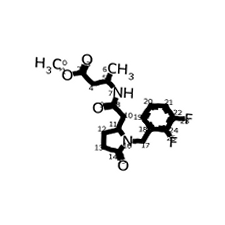 COC(=O)CC(C)NC(=O)CC1CCC(=O)N1Cc1cccc(F)c1F